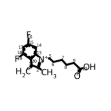 C=C1C(C)=[N+](CCCCCC(=O)O)c2cc(F)cc(F)c21